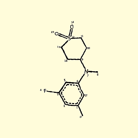 Cc1cc(F)cc(N(C)C2CCS(=O)(=O)CC2)c1